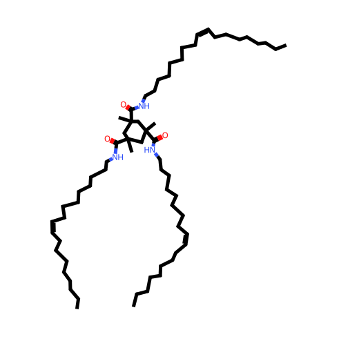 CCCCCCCC/C=C\CCCCCCCCNC(=O)C1(C)CC(C)(C(=O)NCCCCCCCC/C=C\CCCCCCCC)CC(C)(C(=O)NCCCCCCCC/C=C\CCCCCCCC)C1